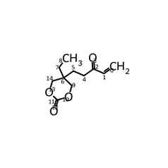 C=CC(=O)CCC1(CC)COC(=O)OC1